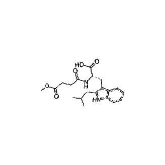 COC(=O)CCC(=O)N[C@@H](Cc1c(CC(C)C)[nH]c2ccccc12)C(=O)O